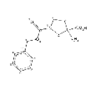 CC1(C(=O)O)CCN(C(=O)OCc2ccccc2)C1